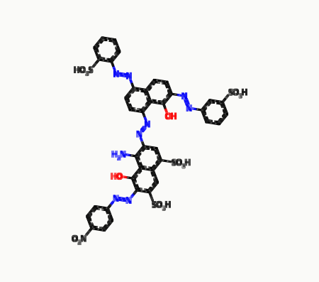 Nc1c(N=Nc2ccc(N=Nc3ccccc3S(=O)(=O)O)c3ccc(N=Nc4cccc(S(=O)(=O)O)c4)c(O)c23)cc(S(=O)(=O)O)c2cc(S(=O)(=O)O)c(N=Nc3ccc([N+](=O)[O-])cc3)c(O)c12